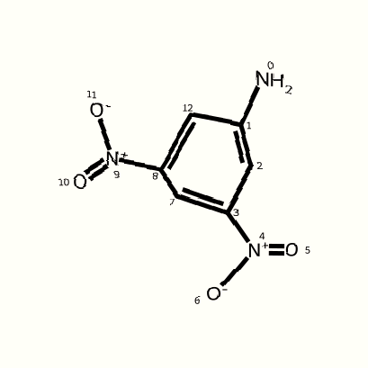 Nc1[c]c([N+](=O)[O-])cc([N+](=O)[O-])c1